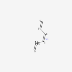 C=C/C=C\N=C